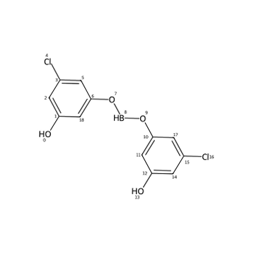 Oc1cc(Cl)cc(OBOc2cc(O)cc(Cl)c2)c1